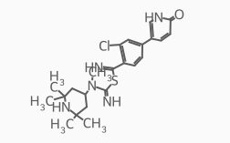 CN(C(=N)SC(=N)c1ccc(-c2ccc(=O)[nH]c2)cc1Cl)C1CC(C)(C)NC(C)(C)C1